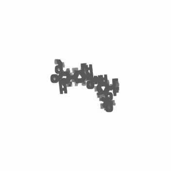 CCOc1cc(-c2ccc(NC(=O)Nc3ccc(OC4(C)COC4)c(C(F)F)c3)c(F)c2)c[nH]c1=O